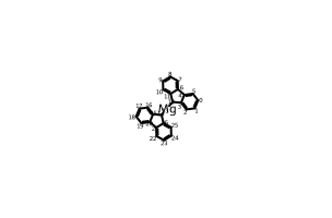 c1ccc2c(c1)-c1ccccc1[CH]2[Mg][CH]1c2ccccc2-c2ccccc21